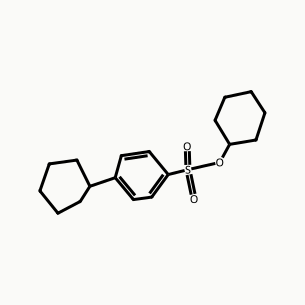 O=S(=O)(OC1CCCCC1)c1ccc(C2CCCCC2)cc1